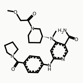 COCC(=O)N1CCC[C@@H](N(C)c2cc(Nc3ccc(C(=O)N4CCCC4)cc3)ncc2C(N)=O)C1